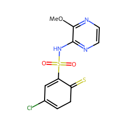 COc1nccnc1NS(=O)(=O)C1=CC(Cl)=CCC1=S